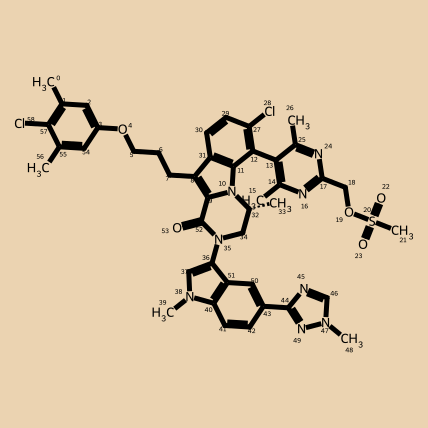 Cc1cc(OCCCc2c3n(c4c(-c5c(C)nc(COS(C)(=O)=O)nc5C)c(Cl)ccc24)[C@H](C)CN(c2cn(C)c4ccc(-c5ncn(C)n5)cc24)C3=O)cc(C)c1Cl